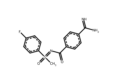 CS(=O)(=NC(=O)c1ccc(C(=N)N)cc1)c1ccc(F)cc1